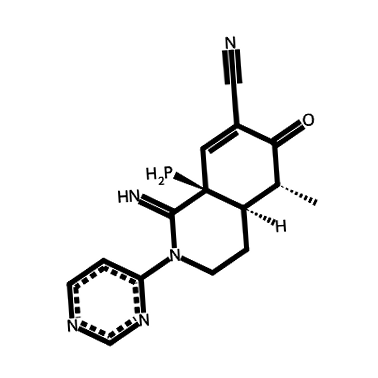 C[C@H]1C(=O)C(C#N)=C[C@@]2(P)C(=N)N(c3ccncn3)CC[C@H]12